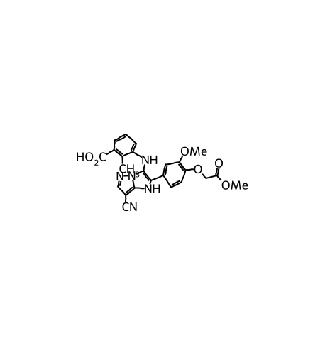 COC(=O)COc1ccc(-c2[nH]c3c(C#N)cnn3c2Nc2cccc(C(=O)O)c2C)cc1OC